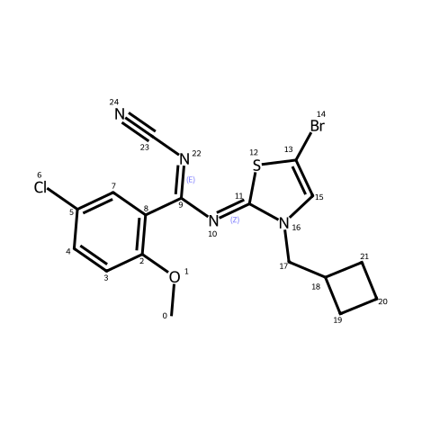 COc1ccc(Cl)cc1C(/N=c1\sc(Br)cn1CC1CCC1)=N\C#N